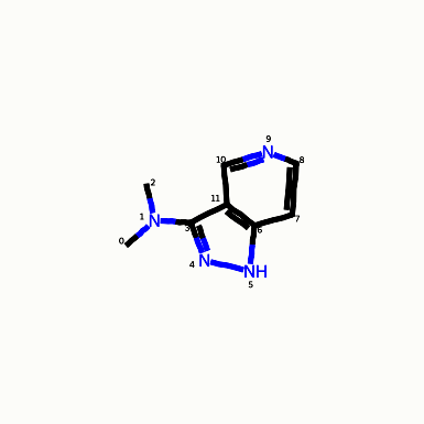 CN(C)c1n[nH]c2ccncc12